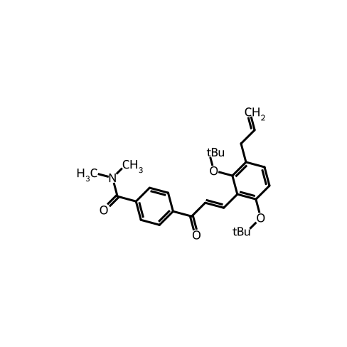 C=CCc1ccc(OC(C)(C)C)c(C=CC(=O)c2ccc(C(=O)N(C)C)cc2)c1OC(C)(C)C